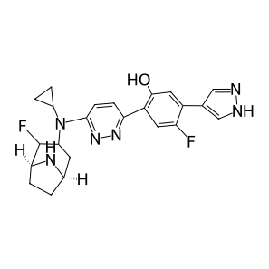 Oc1cc(-c2cn[nH]c2)c(F)cc1-c1ccc(N(C2CC2)C2C[C@H]3CC[C@H](N3)C2F)nn1